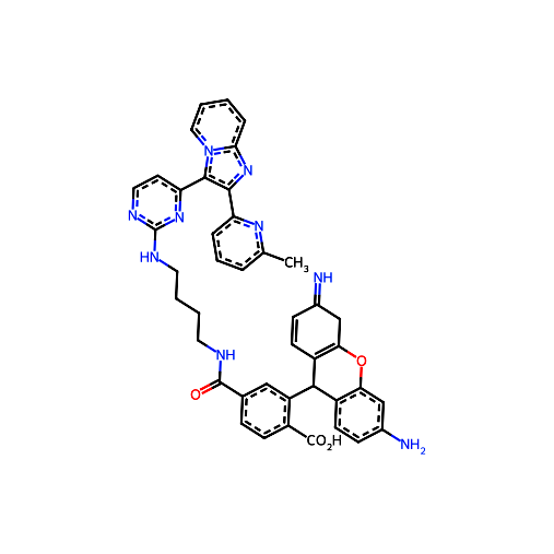 Cc1cccc(-c2nc3ccccn3c2-c2ccnc(NCCCCNC(=O)c3ccc(C(=O)O)c(C4C5=C(CC(=N)C=C5)Oc5cc(N)ccc54)c3)n2)n1